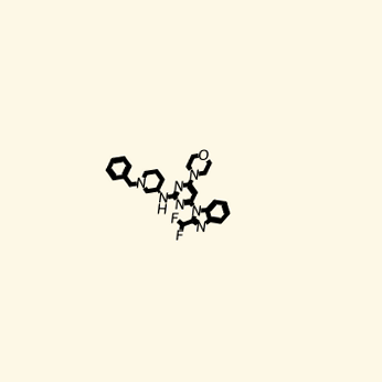 FC(F)c1nc2ccccc2n1-c1cc(N2CCOCC2)nc(N[C@@H]2CCCN(Cc3ccccc3)C2)n1